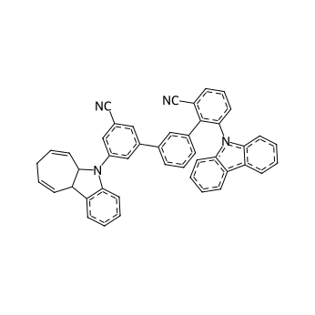 N#Cc1cc(-c2cccc(-c3c(C#N)cccc3-n3c4ccccc4c4ccccc43)c2)cc(N2c3ccccc3C3C=CCC=CC32)c1